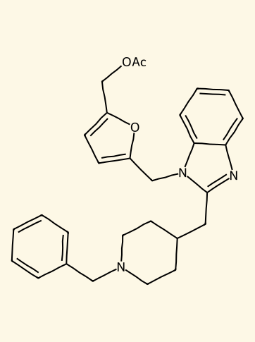 CC(=O)OCc1ccc(Cn2c(CC3CCN(Cc4ccccc4)CC3)nc3ccccc32)o1